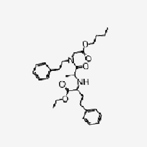 CCCCOC(=O)CN(CCc1ccccc1)C(=O)[C@H](C)N[C@@H](CCc1ccccc1)C(=O)OCC